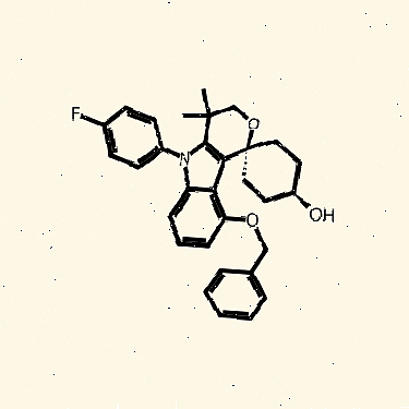 CC1(C)CO[C@]2(CC[C@H](O)CC2)c2c1n(-c1ccc(F)cc1)c1cccc(OCc3ccccc3)c12